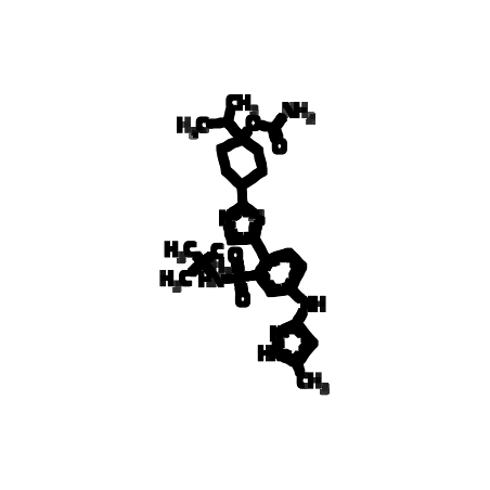 Cc1cc(Nc2ccc(-c3cnc(C4CCC(OC(N)=O)(C(C)C)CC4)s3)c(S(=O)(=O)NC(C)(C)C)c2)n[nH]1